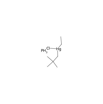 C[CH2][Hg]([Cl])[CH2]C(C)(C)C.P